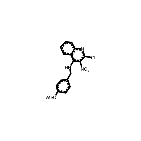 COc1ccc(CNc2c([N+](=O)[O-])c(Cl)nc3ccccc23)cc1